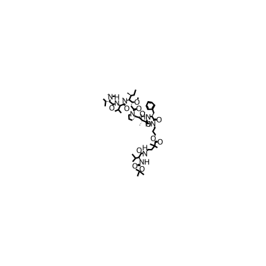 CC[C@H](C)[C@@H]([C@@H](CC(=O)N1CCC[C@H]1[C@H](OC)[C@@H](C)C(=O)N[C@@H](Cc1ccccc1)C(=O)NCCCOC(=O)C(C)(C)CCNC(=O)[C@@H](NC(=O)OC(C)(C)C)C(C)C)OC)N(C)C(=O)[C@@H](NC(=O)[C@H](C(C)C)N(C)C)C(C)C